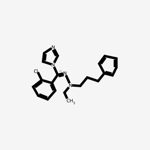 CCN(CCCc1ccccc1)/N=C(\c1ccccc1Cl)n1ccnc1